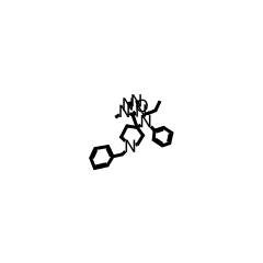 CCC(=O)N(c1ccccc1)C1(c2nnnn2C)CCN(Cc2ccccc2)CC1